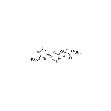 CC(C)(C)OC(=O)C(C)(C)Oc1cccc(N2CCCC(C(=O)O)C2)c1